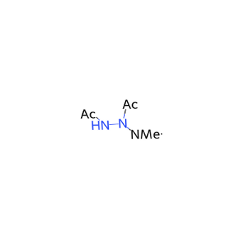 C[N]N(NC(C)=O)C(C)=O